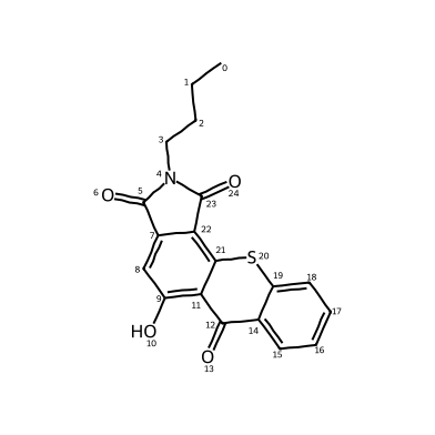 CCCCN1C(=O)c2cc(O)c3c(=O)c4ccccc4sc3c2C1=O